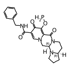 O=C(NCc1ccccc1)c1cn2c(c(OP)c1=O)C(=O)N1CC[C@H]3CCCN3[C@H]1C2